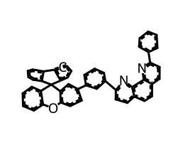 c1ccc(-c2ccc3ccc4ccc(-c5cccc(-c6ccc7c(c6)C6(c8ccccc8O7)c7ccccc7-c7ccccc76)c5)nc4c3n2)cc1